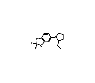 CCC1CCCN1c1ccc2c(c1)OC(F)(F)O2